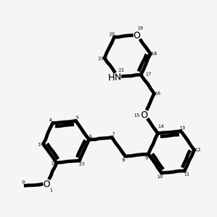 COc1cccc(CCc2ccccc2OCC2=COCCN2)c1